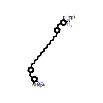 CCCCCCCc1cc(Cc2ccc(CCCCCCCCCCCCCCCCc3ccc(Cc4ccc(N)c(CCCCCCC)c4)cc3)cc2)ccc1N